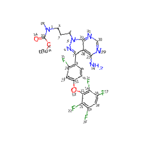 CN(CCCn1nc(-c2ccc(Oc3c(F)c(F)cc(F)c3F)cc2F)c2c(N)ncnc21)C(=O)OC(C)(C)C